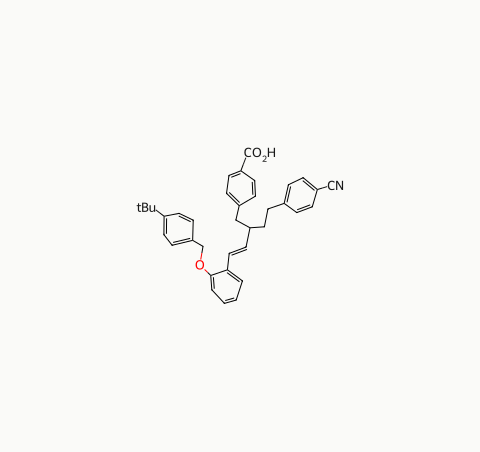 CC(C)(C)c1ccc(COc2ccccc2C=CC(CCc2ccc(C#N)cc2)Cc2ccc(C(=O)O)cc2)cc1